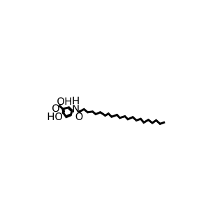 CCCCCCCCCCCCCCCCCCCCCC(=O)Nc1ccc(O)c(C(=O)O)c1